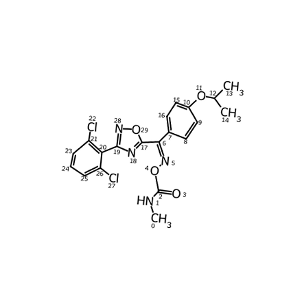 CNC(=O)ON=C(c1ccc(OC(C)C)cc1)c1nc(-c2c(Cl)cccc2Cl)no1